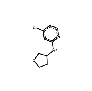 Clc1ccnc(NC2CCOC2)c1